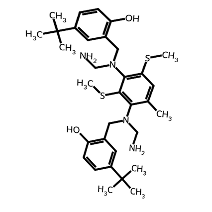 CSc1cc(C)c(N(CN)Cc2cc(C(C)(C)C)ccc2O)c(SC)c1N(CN)Cc1cc(C(C)(C)C)ccc1O